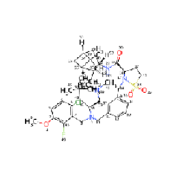 COc1ccc(Cl)c(CN(Cc2cccc(CN3[C@@H](C(=O)N[C@H]4C[C@H]5C[C@@H]([C@@H]4C)C5(C)C)CCS3(=O)=O)c2)[C@H](CN(C)C)CC(C)(C)C)c1F